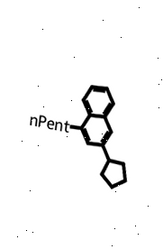 [CH2]CCCCc1cc(C2CCCC2)cc2ccccc12